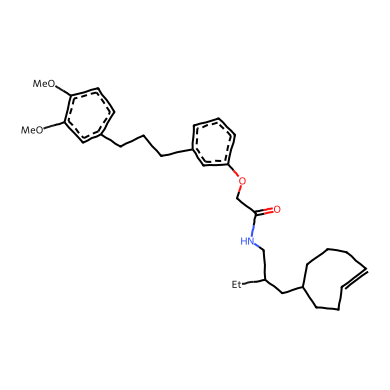 CCC(CNC(=O)COc1cccc(CCCc2ccc(OC)c(OC)c2)c1)CC1CC/C=C/CCC1